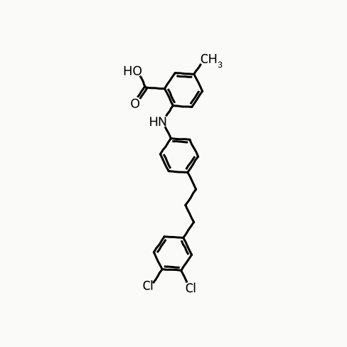 Cc1ccc(Nc2ccc(CCCc3ccc(Cl)c(Cl)c3)cc2)c(C(=O)O)c1